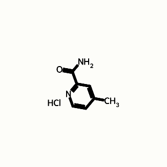 Cc1ccnc(C(N)=O)c1.Cl